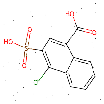 O=C(O)c1cc(S(=O)(=O)O)c(Cl)c2ccccc12